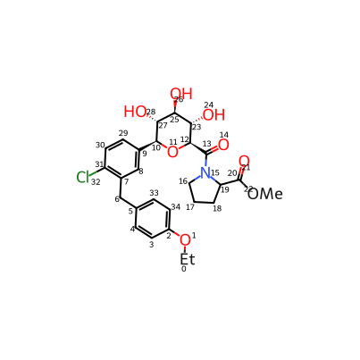 CCOc1ccc(Cc2cc([C@@H]3O[C@H](C(=O)N4CCCC4C(=O)OC)[C@@H](O)[C@H](O)[C@H]3O)ccc2Cl)cc1